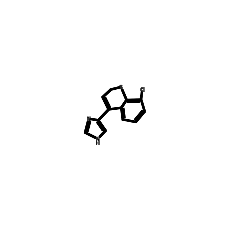 Clc1cccc2c1SCC=C2c1c[nH]cn1